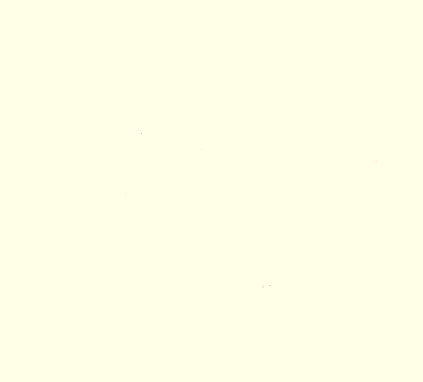 C#CCOC(=O)C(C)(COC(=O)CCCCCCCCCCCCCCCCC)COC(=O)CCCCCCCCCCCCCCCCC